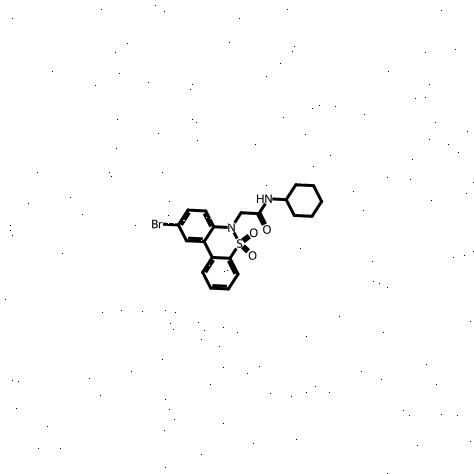 O=C(CN1c2ccc(Br)cc2-c2ccccc2S1(=O)=O)NC1CCCCC1